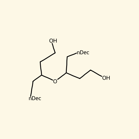 CCCCCCCCCCCC(CCO)OC(CCO)CCCCCCCCCCC